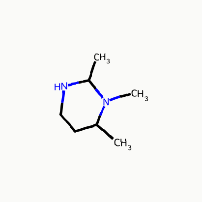 CC1CCNC(C)N1C